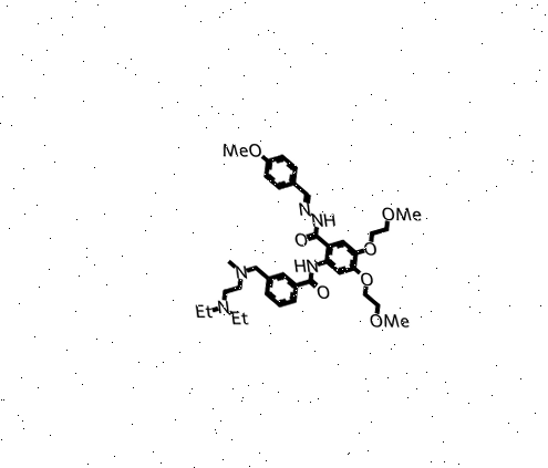 CCN(CC)CCN(C)Cc1cccc(C(=O)Nc2cc(OCCOC)c(OCCOC)cc2C(=O)NN=Cc2ccc(OC)cc2)c1